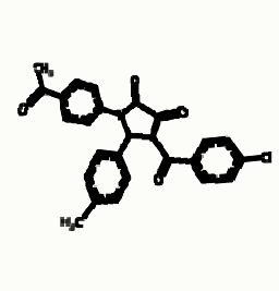 CC(=O)c1ccc(N2C(=O)C(=O)C(C(=O)c3ccc(Cl)cc3)C2c2ccc(C)cc2)cc1